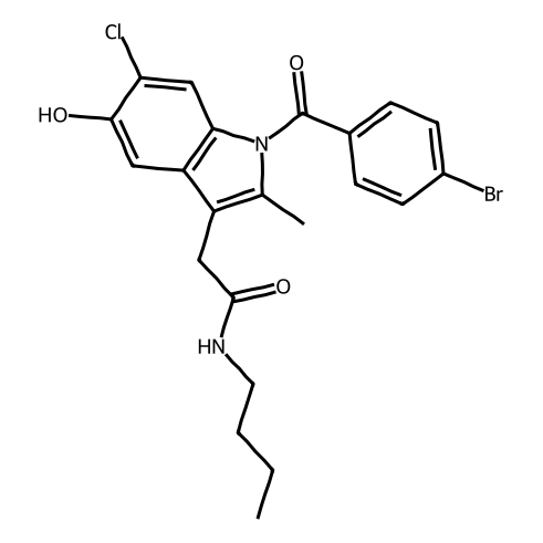 CCCCNC(=O)Cc1c(C)n(C(=O)c2ccc(Br)cc2)c2cc(Cl)c(O)cc12